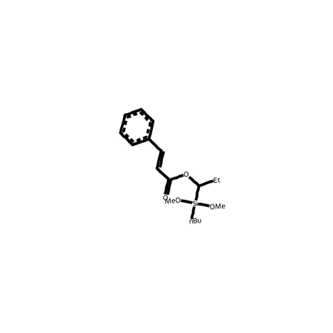 CCCC[Si](OC)(OC)C(CC)OC(=O)/C=C/c1ccccc1